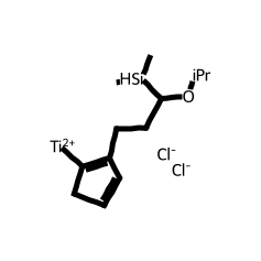 CC(C)OC(CCC1=[C]([Ti+2])CC=C1)[SiH](C)C.[Cl-].[Cl-]